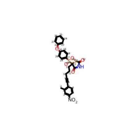 Cc1cc([N+](=O)[O-])ccc1C#CCCCC1(S(=O)(=O)c2ccc(Oc3ccccc3)cc2)SC(=O)NC1=O